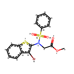 COC(=O)CN(c1sc2ccccc2c1Br)S(=O)(=O)c1ccccc1